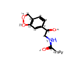 CCCC(=O)NCC(=O)c1ccc2c(c1)OOC2